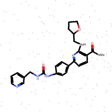 CNC(=O)c1ccc(-c2ccc(NC(=O)NCc3cccnc3)cc2)nc1[AsH]CC1CCCO1